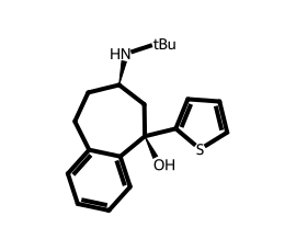 CC(C)(C)N[C@@H]1CCc2ccccc2[C@@](O)(c2cccs2)C1